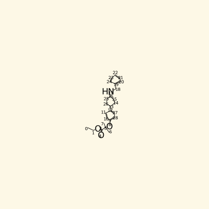 CCOC(=O)C(C)(C)Oc1ccc(C2CCC(NCc3ccccc3)CC2)cc1